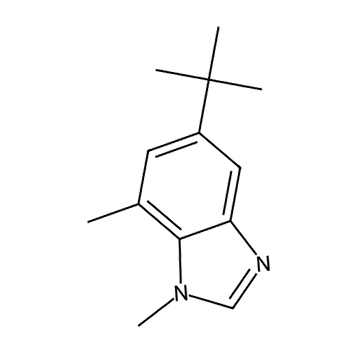 Cc1cc(C(C)(C)C)cc2ncn(C)c12